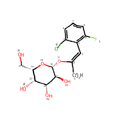 O=C(O)C(=Cc1c(F)cccc1Cl)O[C@H]1O[C@@H](CO)[C@@H](O)[C@@H](O)[C@@H]1O